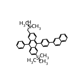 C[SiH](C)Cc1ccc2c(-c3ccc(-c4ccc5ccccc5c4)cc3)c3cc([Si](C)(C)C)ccc3c(-c3ccccc3)c2c1